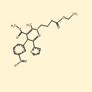 CCOC(=O)CCCN1N=C(c2cccs2)C(c2cccc([N+](=O)[O-])c2)C(C(=O)OC)=C1C